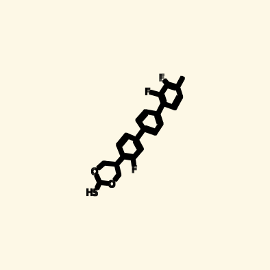 Cc1ccc(-c2ccc(-c3ccc(C4COC(S)OC4)c(F)c3)cc2)c(F)c1F